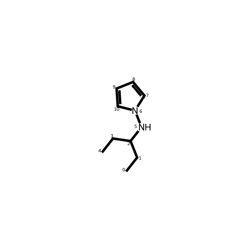 CCC(CC)Nn1[c]ccc1